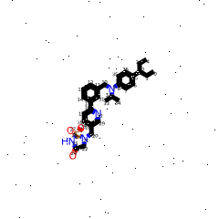 CCC(CC)c1ccc(N(Cc2cccc(-c3ccc(CN4CC(=O)NS4(=O)=O)cn3)c2)C(C)C)cc1